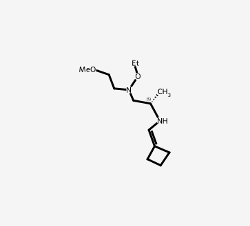 CCON(CCOC)C[C@H](C)NC=C1CCC1